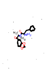 C[C@H](C(=O)c1ccc2c(c1)OCO2)N(C)C(=O)[C@@H](N)Cc1ccccc1